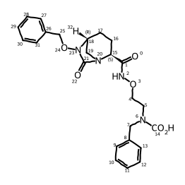 O=C(NOCCN(Cc1ccccc1)C(=O)O)[C@@H]1CC[C@@H]2CN1C(=O)N2OCc1ccccc1